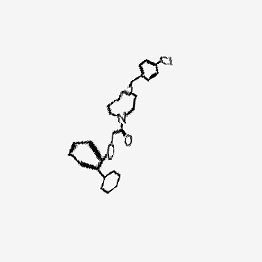 O=C(COc1ccccc1C1CCCCC1)N1CCN(Cc2ccc(Cl)cc2)CC1